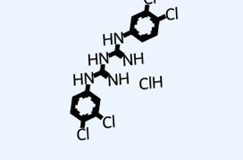 Cl.N=C(NC(=N)Nc1ccc(Cl)c(Cl)c1)Nc1ccc(Cl)c(Cl)c1